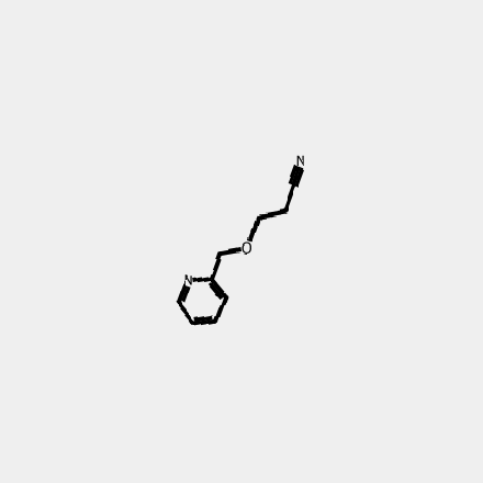 N#CCCOCc1ccccn1